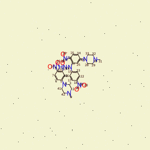 CN1CCN(c2ccc([N+](=O)[O-])c(NN(c3ccc([N+](=O)[O-])cc3)c3cc(N4CCN(C)CC4)ccc3[N+](=O)[O-])c2)CC1